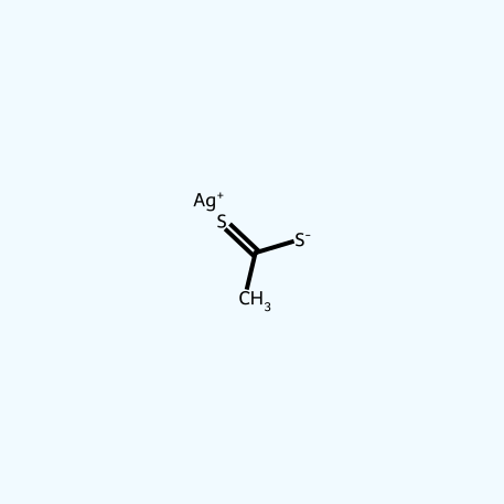 CC(=S)[S-].[Ag+]